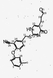 Cc1cccc(Oc2ccc(CSc3nc(=O)c(CCC=O)c[nH]3)cc2C#N)c1